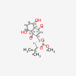 COC(=O)O[C@H](CC=C(C)C)C1=CC(=O)c2c(O)ccc(O)c2C1=O